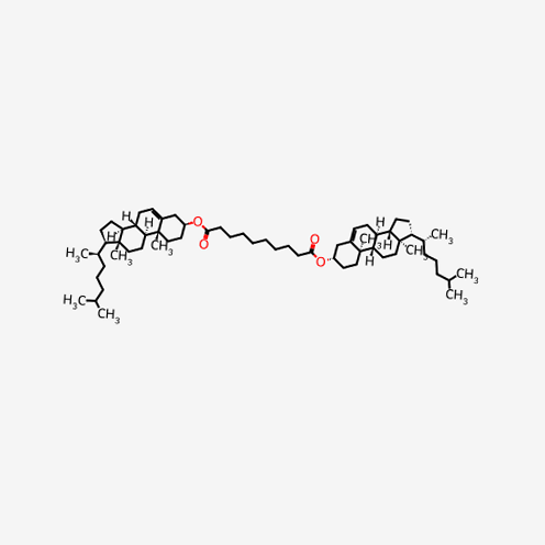 CC(C)CCC[C@@H](C)[C@H]1CC[C@H]2[C@@H]3CC=C4C[C@@H](OC(=O)CCCCCCCCC(=O)O[C@H]5CC[C@@]6(C)C(=CC[C@H]7[C@@H]8CC[C@H]([C@H](C)CCCC(C)C)[C@@]8(C)CC[C@@H]76)C5)CC[C@]4(C)[C@H]3CC[C@]12C